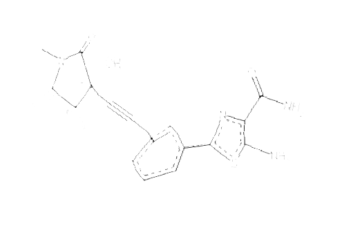 C[C@@H]1[C@H](C)N(C)C(=O)[C@@]1(O)C#Cc1cccc(-c2nc(C(N)=O)c(N)s2)c1